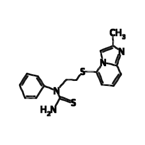 Cc1cn2c(SCCN(C(N)=S)c3ccccc3)cccc2n1